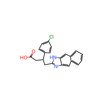 O=C(O)CC(Cc1nc2cc3ccccc3cc2[nH]1)c1ccc(Cl)cc1